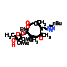 CCCCc1cn(CC[C@@H]2C[C@@H](C)CCC(=O)O[C@H](CC)[C@@H](CO[C@@H]3OC(C)[C@@H](O)[C@H](OC)C3OC)/C=C(C)/C=C/C(=O)[C@H](C)C2)nn1